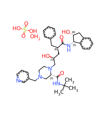 CC(C)(C)NC(=O)[C@@H]1CN(Cc2cccnc2)CCN1C[C@@H](O)C[C@@H](Cc1ccccc1)C(=O)N[C@H]1c2ccccc2C[C@H]1O.O.O=S(=O)(O)O